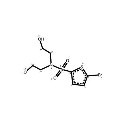 O=S(=O)(c1ccc(Br)s1)N(CCO)CCO